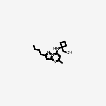 CCCCc1cc2nc(C)cc(NC3(CO)CCC3)n2n1